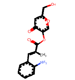 C/C(=C\c1ccccc1N)C(=O)Oc1coc(CO)cc1=O